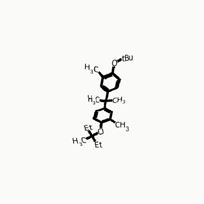 CCC(C)(CC)Oc1ccc(C(C)(C)c2ccc(OC(C)(C)C)c(C)c2)cc1C